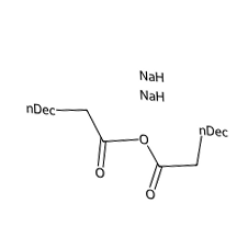 CCCCCCCCCCCC(=O)OC(=O)CCCCCCCCCCC.[NaH].[NaH]